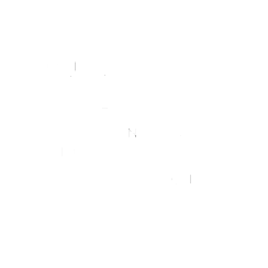 CC(O)CN(CC(C)O)C(=O)/C=C\C(=O)O